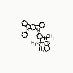 CN1c2cc(-n3c4ccccc4c4cc5c6ccccc6n(-c6ccccc6)c5cc43)ccc2C(C)(C)n2c1nc1ccccc12